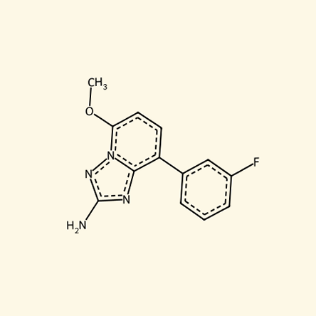 COc1ccc(-c2cccc(F)c2)c2nc(N)nn12